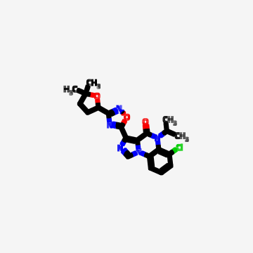 CC(C)n1c(=O)c2c(-c3nc(C4CCC(C)(C)O4)no3)ncn2c2cccc(Cl)c21